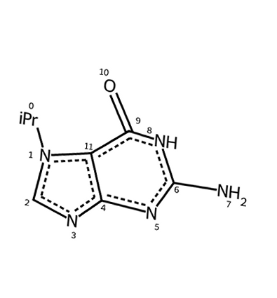 CC(C)n1cnc2nc(N)[nH]c(=O)c21